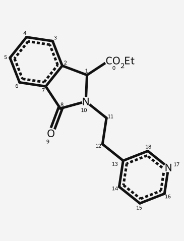 CCOC(=O)C1c2ccccc2C(=O)N1CCc1cccnc1